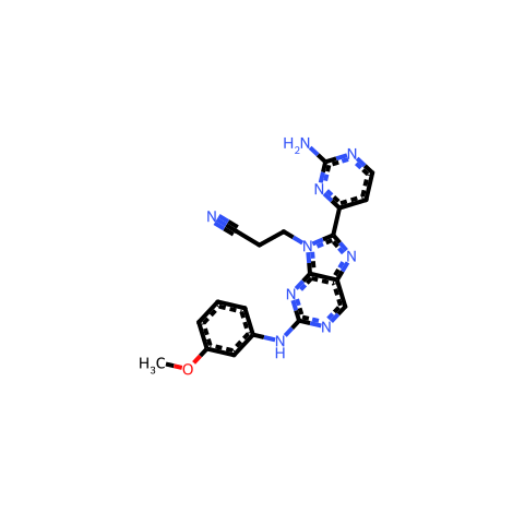 COc1cccc(Nc2ncc3nc(-c4ccnc(N)n4)n(CCC#N)c3n2)c1